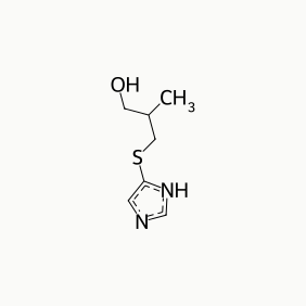 CC(CO)CSc1cnc[nH]1